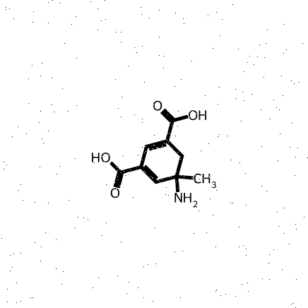 CC1(N)C=C(C(=O)O)C=C(C(=O)O)C1